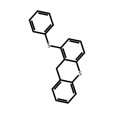 c1ccc(Sc2cccc3c2Cc2ccccc2S3)cc1